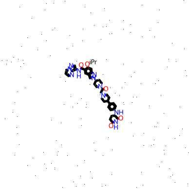 CC(C)Oc1cc2nn(C3CCN(C(=O)CN4CCC(c5ccc(NC6CCC(=O)NC6=O)cc5)CC4)CC3)cc2cc1C(=O)Nc1cnn2cccnc12